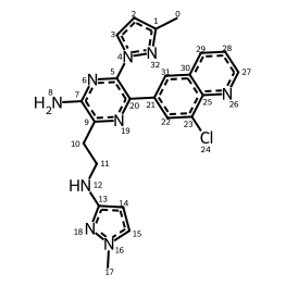 Cc1ccn(-c2nc(N)c(CCNc3ccn(C)n3)nc2-c2cc(Cl)c3ncccc3c2)n1